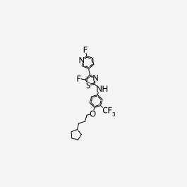 Fc1ccc(-c2nc(Nc3ccc(OCCCC4CCCC4)c(C(F)(F)F)c3)sc2F)cn1